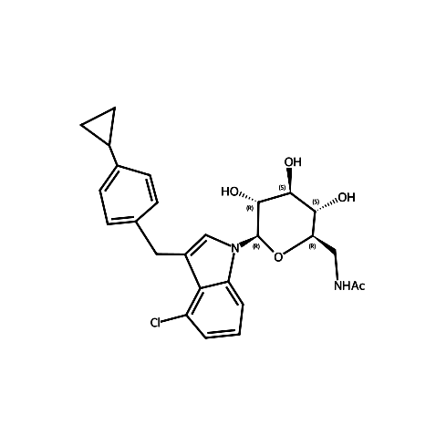 CC(=O)NC[C@H]1O[C@@H](n2cc(Cc3ccc(C4CC4)cc3)c3c(Cl)cccc32)[C@H](O)[C@@H](O)[C@@H]1O